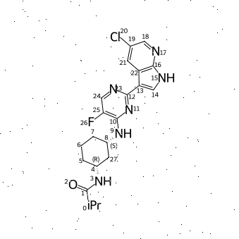 CC(C)C(=O)N[C@@H]1CCC[C@H](Nc2nc(-c3c[nH]c4ncc(Cl)cc34)ncc2F)C1